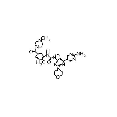 Cc1ccc(C(=O)N2CCN(C)CC2)cc1NC(=O)N1CCc2c(-c3cnc(N)nc3)nc(N3CCOCC3)nc21